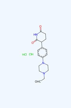 Cl.Cl.O=CCN1CCN(c2ccc(C3CCC(=O)NC3=O)cc2)CC1